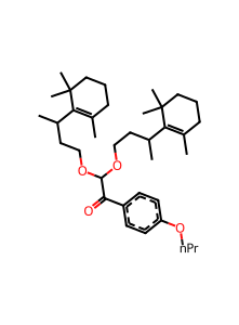 CCCOc1ccc(C(=O)C(OCCC(C)C2=C(C)CCCC2(C)C)OCCC(C)C2=C(C)CCCC2(C)C)cc1